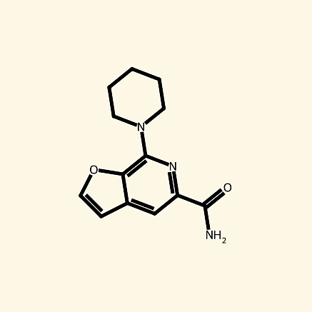 NC(=O)c1cc2ccoc2c(N2CCCCC2)n1